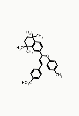 Cc1ccc(OC(/C=C/c2ccc(C(=O)O)cc2)c2ccc3c(c2)C(C)(C)CCC3(C)C)cc1